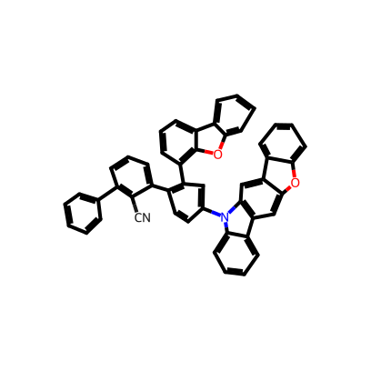 N#Cc1c(-c2ccccc2)cccc1-c1ccc(-n2c3ccccc3c3cc4oc5ccccc5c4cc32)cc1-c1cccc2c1oc1ccccc12